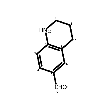 O=[C]c1ccc2c(c1)CCCN2